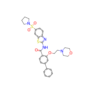 O=C(Nc1nc2ccc(S(=O)(=O)N3CCCC3)cc2s1)c1ccc(-c2ccccc2)cc1OCCN1CCOCC1